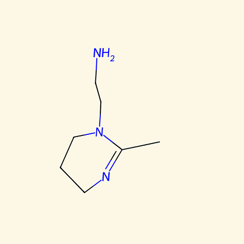 CC1=NCCCN1CCN